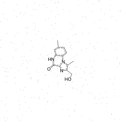 Cc1ccc2c(c1)[nH]c(=O)c1nc(CO)c(C)n12